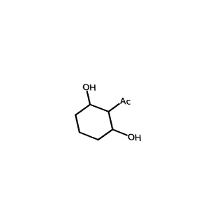 CC(=O)C1C(O)CCCC1O